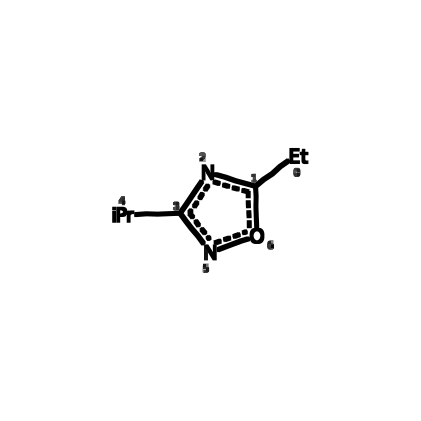 [CH2]Cc1nc(C(C)C)no1